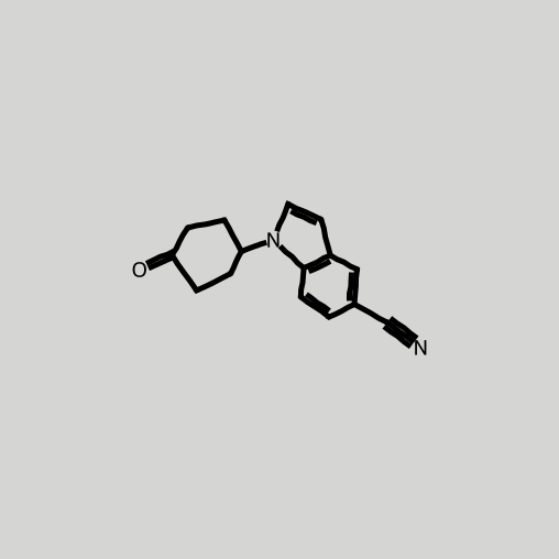 N#Cc1ccc2c(ccn2C2CCC(=O)CC2)c1